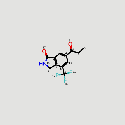 CCC(=O)c1cc2c(c(C(F)(F)F)c1)CNC2=O